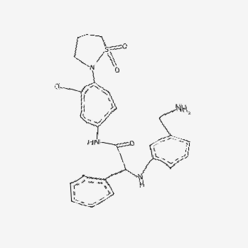 NCc1cccc(NC(C(=O)Nc2ccc(N3CCCS3(=O)=O)c(Cl)c2)c2ccccc2)c1